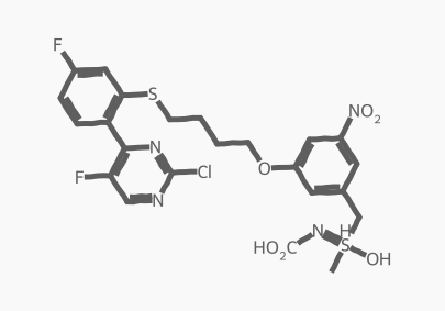 C[SH](O)(Cc1cc(OCCCCSc2cc(F)ccc2-c2nc(Cl)ncc2F)cc([N+](=O)[O-])c1)=NC(=O)O